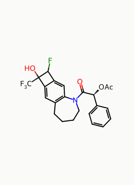 CC(=O)O[C@H](C(=O)N1CCCCc2cc3c(cc21)C(F)C3(O)C(F)(F)F)c1ccccc1